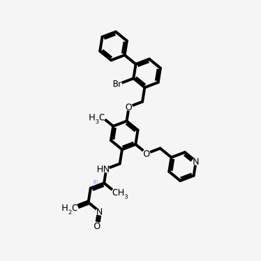 C=C(/C=C(\C)NCc1cc(C)c(OCc2cccc(-c3ccccc3)c2Br)cc1OCc1cccnc1)N=O